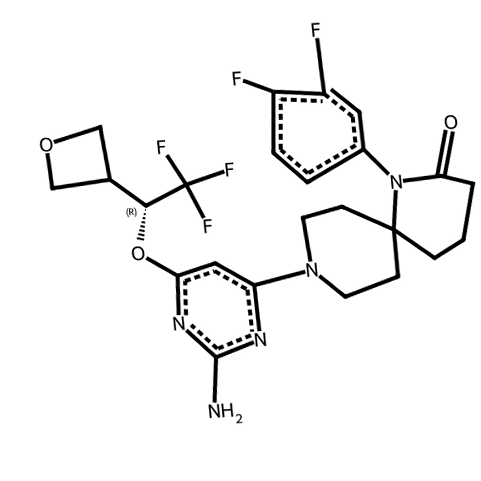 Nc1nc(O[C@H](C2COC2)C(F)(F)F)cc(N2CCC3(CCCC(=O)N3c3ccc(F)c(F)c3)CC2)n1